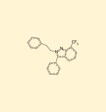 FC(F)(F)c1cccc2c(-c3ccccc3)n(CCc3ccccc3)nc12